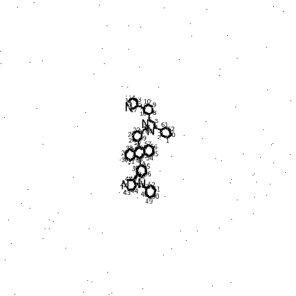 c1ccc(-c2cc(-c3cccc(-c4cccnc4)c3)nc(-c3cccc(-c4c5ccccc5c(-c5ccc6c(c5)c5cnccc5n6-c5ccccc5)c5ccccc45)c3)n2)cc1